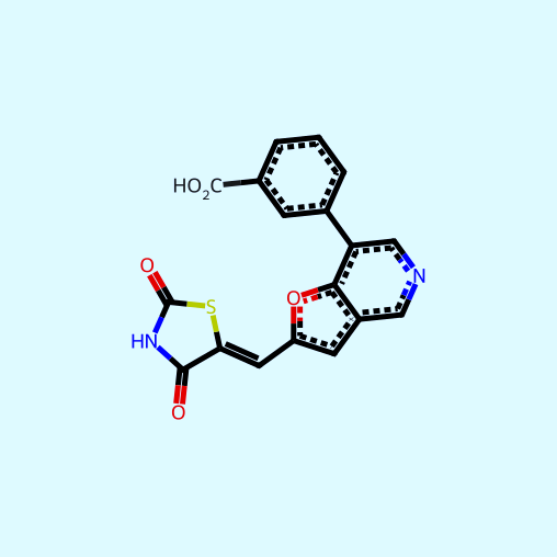 O=C1NC(=O)C(=Cc2cc3cncc(-c4cccc(C(=O)O)c4)c3o2)S1